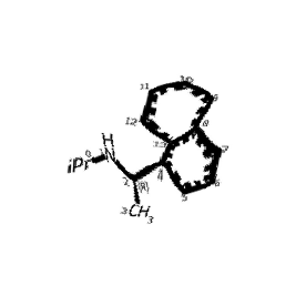 CC(C)N[C@H](C)c1cccc2ccccc12